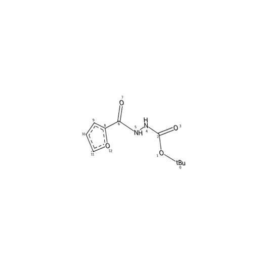 CC(C)(C)OC(=O)NNC(=O)c1cc[c]o1